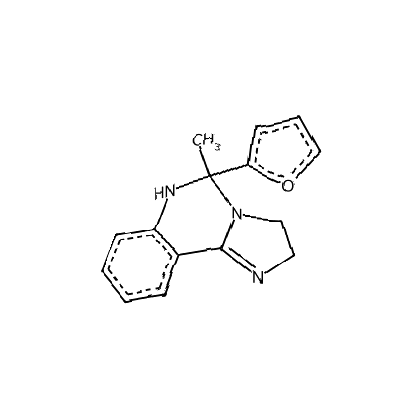 CC1(c2ccco2)Nc2ccccc2C2=NCCN21